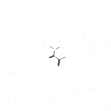 C=C(C)C(=O)N(S)S